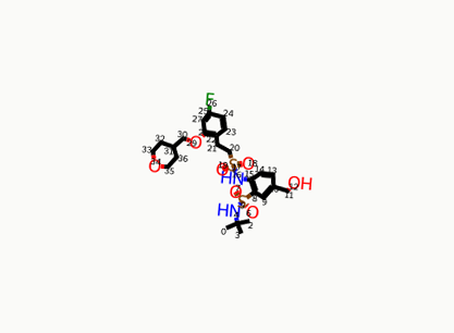 CC(C)(C)NS(=O)(=O)c1cc(CO)ccc1NS(=O)(=O)CCc1ccc(F)cc1OCC1CCOCC1